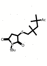 CC(=O)C(C)(C)CC(C)(C)CSC1CC(=O)N(C(C)(C)C)C1=O